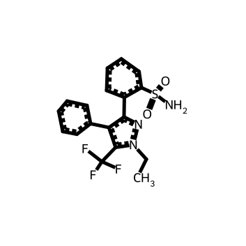 CCn1nc(-c2ccccc2S(N)(=O)=O)c(-c2ccccc2)c1C(F)(F)F